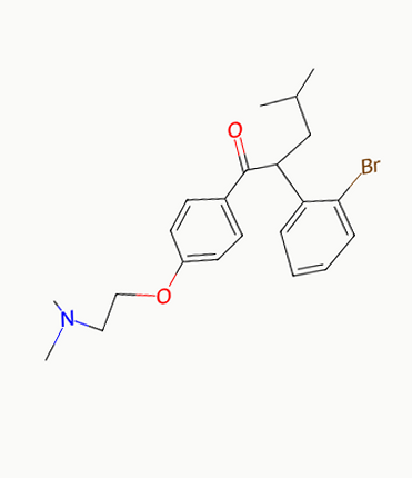 CC(C)CC(C(=O)c1ccc(OCCN(C)C)cc1)c1ccccc1Br